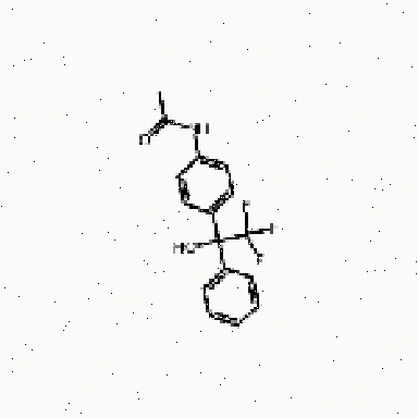 CC(=O)Nc1ccc(C(O)(c2ccccc2)C(F)(F)F)cc1